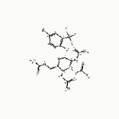 CC(=O)OC[C@H]1O[C@H](Oc2ccc(Br)cc2C(F)(F)F)[C@@H](OC(C)=O)[C@H](OC(C)=O)[C@H]1OC(C)=O